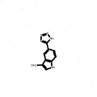 O=Cc1c[nH]c2ccc(-c3nnn[nH]3)cc12